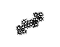 Cc1cccc(N(c2c(C)cc(C3(c4ccccc4)c4ccccc4-c4ccccc43)cc2C)c2ccc3ccc4c(N(c5cccc(C)c5)c5c(C)cc(C6(c7ccccc7)c7ccccc7-c7ccccc76)cc5C)ccc5ccc2c3c54)c1